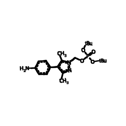 Cc1nn(COP(=O)(OC(C)(C)C)OC(C)(C)C)c(C)c1-c1ccc(N)cc1